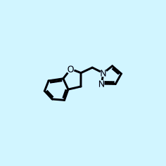 c1ccc2c(c1)CC(Cn1cccn1)O2